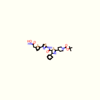 CC(C)(C)OC(=O)N1CCC(C2=NC(c3ccccc3)C(C(=O)Nc3nc(-c4ccc(CC(=O)NO)s4)cs3)S2)CC1